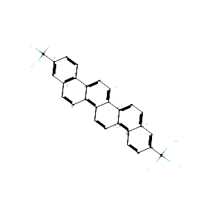 FC(F)(F)c1ccc2c(ccc3c2ccc2c4ccc5cc(C(F)(F)F)ccc5c4ccc32)c1